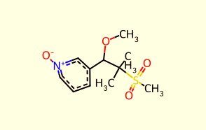 COC(c1ccc[n+]([O-])c1)C(C)(C)S(C)(=O)=O